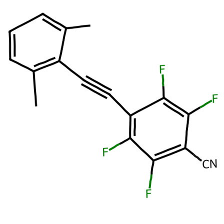 Cc1cccc(C)c1C#Cc1c(F)c(F)c(C#N)c(F)c1F